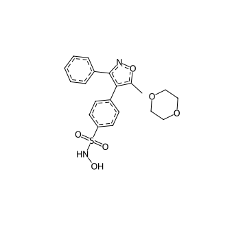 C1COCCO1.Cc1onc(-c2ccccc2)c1-c1ccc(S(=O)(=O)NO)cc1